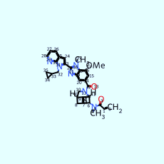 C=CC(=O)N(C)[C@H]1C2C[C@@H]3CN(C(=O)c4cc(OC)c5c(c4)nc(-c4cc6cccnc6n4CC4CC4)n5C)[C@H]1[C@H]23